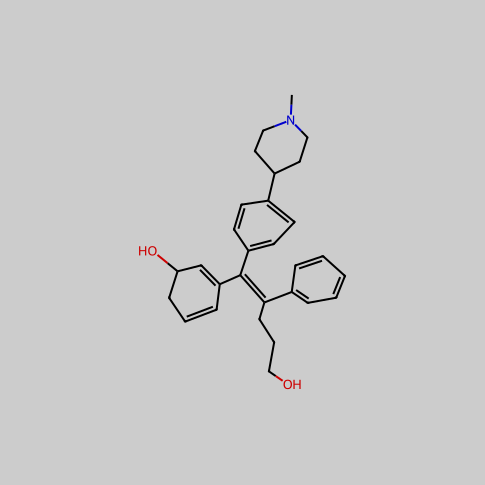 CN1CCC(c2ccc(/C(C3=CC(O)CC=C3)=C(/CCCO)c3ccccc3)cc2)CC1